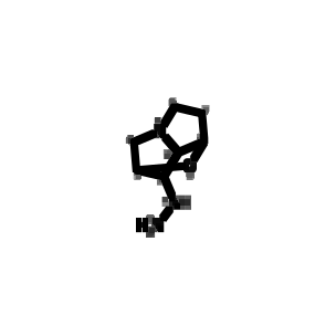 NNC1C2CN3CCC(O2)C13